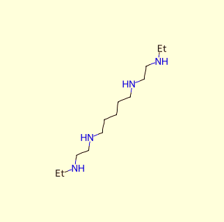 CCNCCNCCCCCNCCNCC